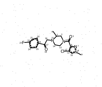 CC1CN(C(=O)c2nn(C)cc2Cl)CCN1CC(=O)c1ccc(F)cc1